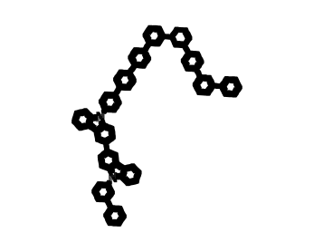 C1=CC(c2ccc(-c3cccc(-c4ccccc4)c3)cc2)=CC(c2cccc(-c3ccc(-c4ccc(-c5ccc(-n6c7ccccc7c7cc(-c8ccc9c(c8)c8ccccc8n9-c8cccc(-c9ccccc9)c8)ccc76)cc5)cc4)cc3)c2)C1